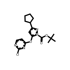 CC(C)(C)OC(=O)n1nc(C2CCCC2)cc1Oc1ccnc(Cl)n1